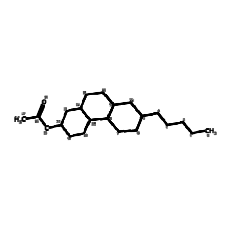 CCCCCC1CCC2C(CCC3CC(OC(C)=O)CCC32)C1